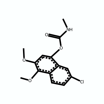 CNC(=O)Oc1cc(OC)c(OC)c2ccc(Cl)cc12